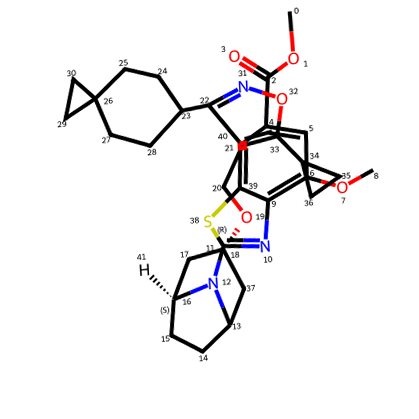 COC(=O)c1cc(OC)c2nc(N3C4CC[C@H]3C[C@H](OCc3c(C5CCC6(CC5)CC6)noc3C3CC3)C4)sc2c1